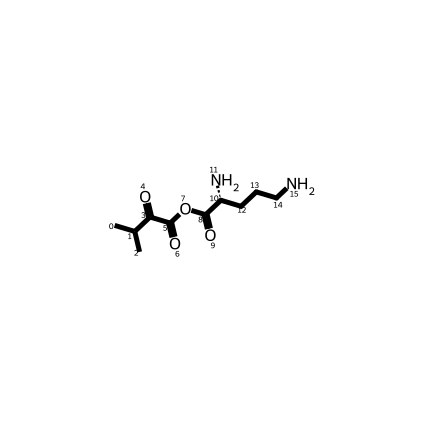 CC(C)C(=O)C(=O)OC(=O)[C@H](N)CCCN